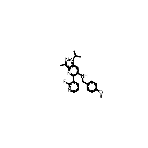 COc1ccc(CNc2cc3c(nc2-c2cccnc2F)c(C)nn3C(C)C)cc1